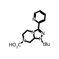 CC(C)(C)N1N=C(c2ccccn2)N2CCN(C(=O)O)CC21